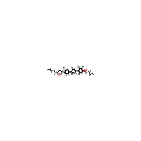 C/C=C/CCC1CCC(c2ccc(-c3ccc(-c4ccc(OCCCC)c(F)c4F)cc3)cc2F)CO1